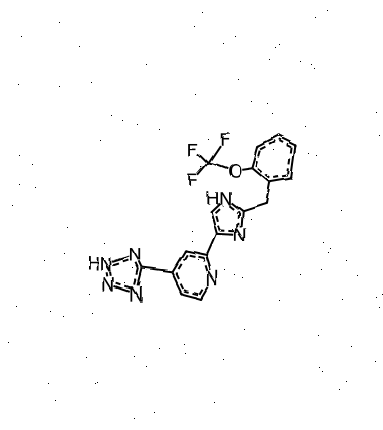 FC(F)(F)Oc1ccccc1Cc1nc(-c2cc(-c3nn[nH]n3)ccn2)c[nH]1